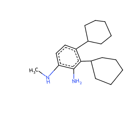 CNc1ccc(C2CCCCC2)c(C2CCCCC2)c1N